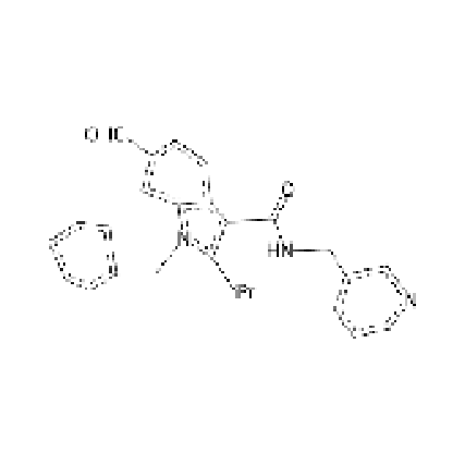 CC(C)c1c(C(=O)NCc2cccnc2)c2ccc(C=O)cc2n1Cc1ccccc1